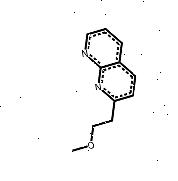 COCCc1ccc2cccnc2n1